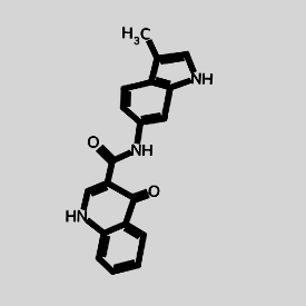 Cc1c[nH]c2cc(NC(=O)c3c[nH]c4ccccc4c3=O)ccc12